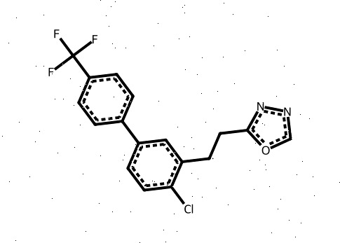 FC(F)(F)c1ccc(-c2ccc(Cl)c([CH]Cc3nnco3)c2)cc1